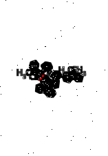 CC1(C)c2ccccc2-c2ccc(-c3ccc(N(c4ccccc4-c4cccc5c4-c4ccccc4C5(C)C)c4cccc5c4-c4ccccc4C54c5ccccc5-c5ccccc54)cc3)cc21